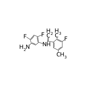 C=C(Nc1cc(N)c(F)cc1F)c1cc(C)cc(F)c1C